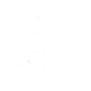 CN(Cc1ccc(F)cc1)C(=O)Cc1ccccc1